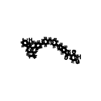 C[C@@H]1Cc2c([nH]c3ccccc23)[C@@H](c2c(F)cc(N3CCC(CN4CCC(N5Cc6cc7c(cc6C5)C(=O)N(C5CCC(=O)NC5=O)C7)CC4)CC3)cc2F)N1CC(F)F